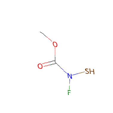 COC(=O)N(F)S